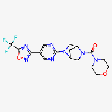 O=C(N1CCOCC1)N1CC2CC1CN2c1ncc(-c2noc(C(F)(F)F)n2)cn1